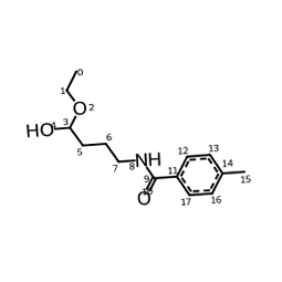 CCOC(O)CCCNC(=O)c1ccc(C)cc1